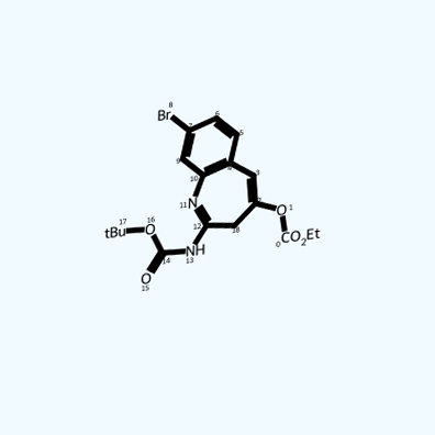 CCOC(=O)OC1=Cc2ccc(Br)cc2N=C(NC(=O)OC(C)(C)C)C1